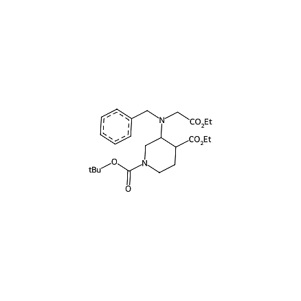 CCOC(=O)CN(Cc1ccccc1)C1CN(C(=O)OC(C)(C)C)CCC1C(=O)OCC